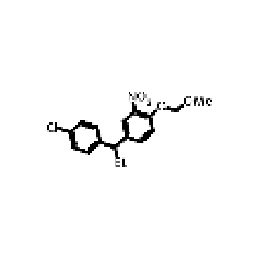 [CH2]CC(c1ccc(Cl)cc1)c1ccc(OCOC)c([N+](=O)[O-])c1